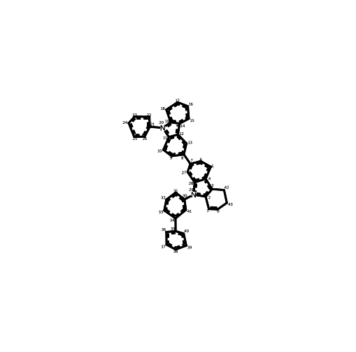 C1=Cc2c(c3ccc(-c4ccc5c(c4)c4ccccc4n5-c4ccccc4)cc3n2-c2cccc(-c3ccccc3)c2)CC1